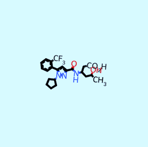 CC(O)CC(CC(=O)O)NC(=O)c1cc(-c2ccccc2C(F)(F)F)n(C2CCCC2)n1